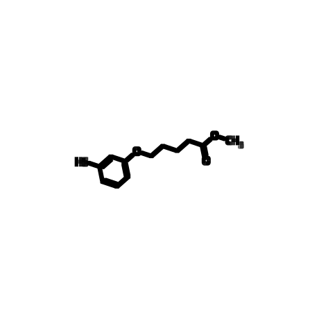 COC(=O)CCCCOc1cccc(S)c1